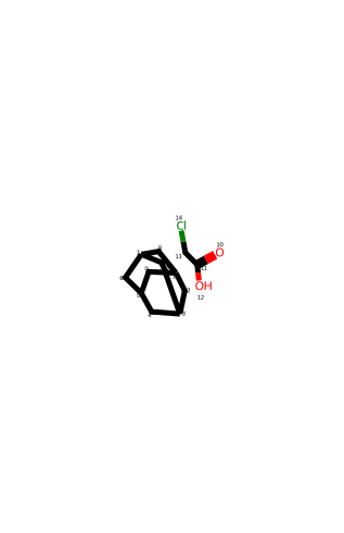 C1C2CC3CC1CC(C2)C3.O=C(O)CCl